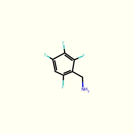 NCc1c(F)[c]c(F)c(F)c1F